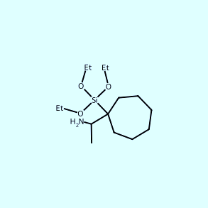 CCO[Si](OCC)(OCC)C1(C(C)N)CCCCCC1